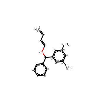 C=CC=COC(c1ccccc1)c1cc(C)cc(C)c1